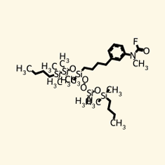 CCCC[Si](C)(C)O[SiH](C)OO[Si](C)(CCCCc1cccc(N(C)C(=O)F)c1)O[Si](C)(C)[Si](C)(C)CCCC